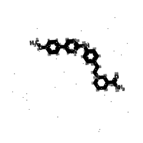 COc1ccc(-c2cnc(Nc3ccc(CCN4CCCC(C(N)=O)C4)cc3)nc2)cc1